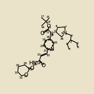 CCC(CC)CN1CC[C@@H](N(C(=O)OC(C)(C)C)c2ccc(/C=C/C(=O)NOC3CCCCO3)nc2)C1